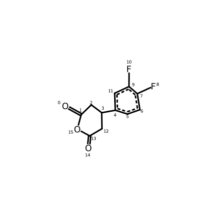 O=C1CC(c2ccc(F)c(F)c2)CC(=O)O1